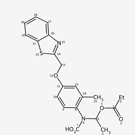 CCC(=O)OC(C)N(C(=O)O)c1ccc(OCc2nc3ccccc3s2)cc1C